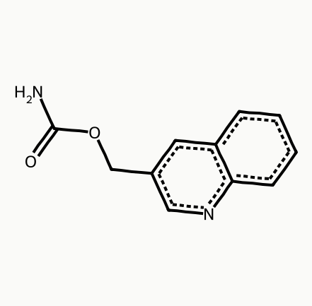 NC(=O)OCc1cnc2ccccc2c1